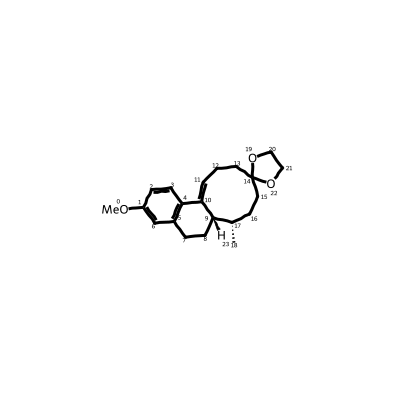 COc1ccc2c(c1)CC[C@@H]1/C2=C\CCC2(CC[C@@H]1C)OCCO2